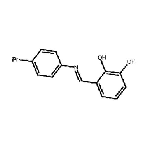 CC(C)c1ccc(/N=C/c2cccc(O)c2O)cc1